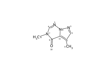 Cc1cnn2ncn(C)c(=O)c12